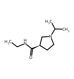 CCNC(=O)[C@@H]1CCN(C(C)C)C1